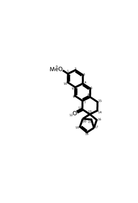 COc1ccc2cc3c(cc2c1)C(=O)C1(CC3)CC2C=CC1C2